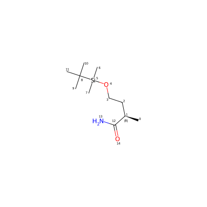 C[C@H](CCO[Si](C)(C)C(C)(C)C)C(N)=O